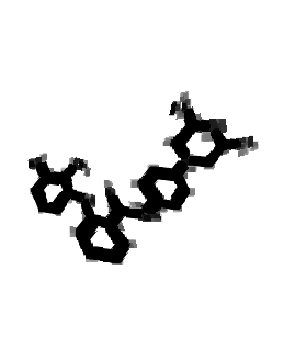 Cc1c(Cl)cccc1Nc1ccccc1C(=O)Nc1ccc(N2CC(C)NC(C)C2)cc1